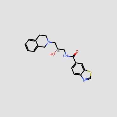 O=C(NC[C@H](O)CN1CCc2ccccc2C1)c1ccc2ncsc2c1